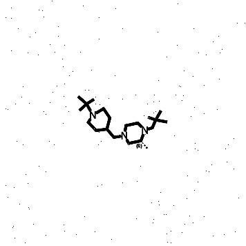 C[C@@H]1CN(CC2CCN(C(C)(C)C)CC2)CCN1CC(C)(C)C